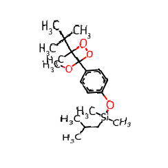 COC1(c2ccc(O[Si](C)(C)CC(C)C)cc2)OOC1(C)C(C)(C)C